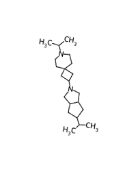 CC(C)C1CC2CN(C3CC4(CCN(C(C)C)CC4)C3)CC2C1